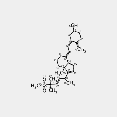 C=C1CCC(O)C/C1=C/C=C1\CCCC2(C)C(C(C)/C=C/C(C)(C)S(C)(=O)=O)=CCC12